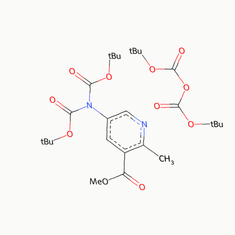 CC(C)(C)OC(=O)OC(=O)OC(C)(C)C.COC(=O)c1cc(N(C(=O)OC(C)(C)C)C(=O)OC(C)(C)C)cnc1C